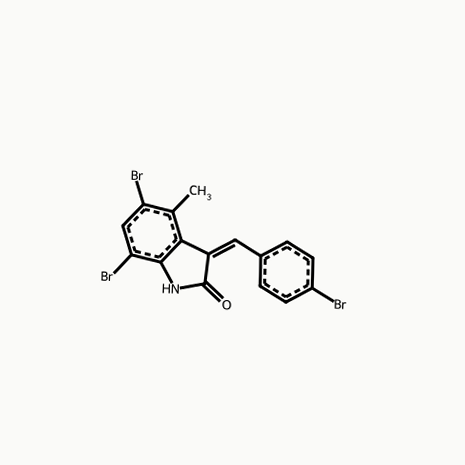 Cc1c(Br)cc(Br)c2c1C(=Cc1ccc(Br)cc1)C(=O)N2